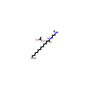 CC(O)C(=O)O.CCCCCCCCCCCCCCCCCCCCCC(=O)NCCCN(C)C